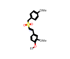 CCOc1ccc(/C=C/S(=O)(=O)Cc2ccc(OC)cc2)cc1OC